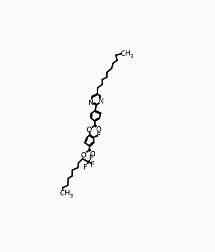 CCCCCCCCCCc1cnc(-c2ccc(C(=O)Oc3ccc(C(=O)OC(CCCCCCCC)C(F)(F)F)cc3F)cc2)nc1